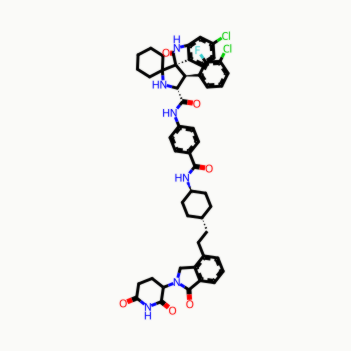 O=C1CCC(N2Cc3c(CC[C@H]4CC[C@H](NC(=O)c5ccc(NC(=O)[C@@H]6NC7(CCCCC7)[C@@]7(C(=O)Nc8cc(Cl)ccc87)[C@H]6c6cccc(Cl)c6F)cc5)CC4)cccc3C2=O)C(=O)N1